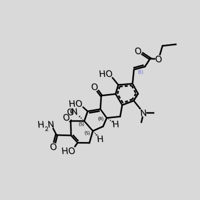 CCOC(=O)/C=C/c1cc(N(C)C)c2c(c1O)C(=O)C1=C(O)[C@]3(N=O)C(=O)C(C(N)=O)=C(O)C[C@@H]3C[C@@H]1C2